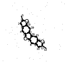 Cc1cc2cc3oc4cc5cc(C)oc5cc4c3cc2o1